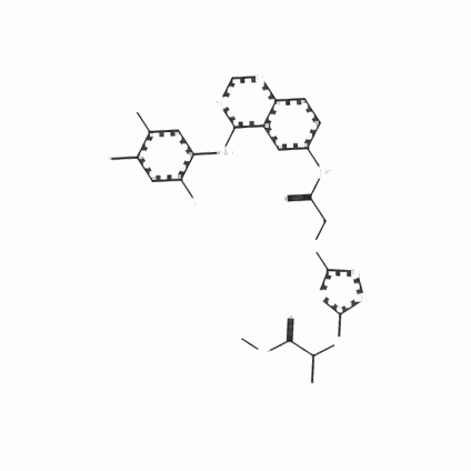 COC(=O)C(C)Sc1nnc(SCC(=O)Nc2ccc3ncnc(Nc4cc(Cl)c(Cl)cc4F)c3c2)s1